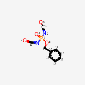 O=C=NP(=O)(N=C=O)OCc1ccccc1